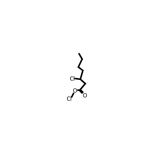 CCCCC(Cl)CC(=O)OCl